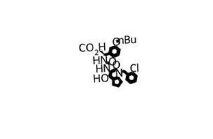 CCCCOc1cccc([C@H](CC(=O)O)NC(=O)Nc2c(O)c3c(n(Cc4ccccc4Cl)c2=O)CCC3)c1